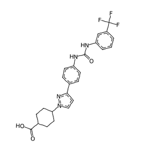 O=C(Nc1ccc(-c2ccn(C3CCC(C(=O)O)CC3)n2)cc1)Nc1cccc(C(F)(F)F)c1